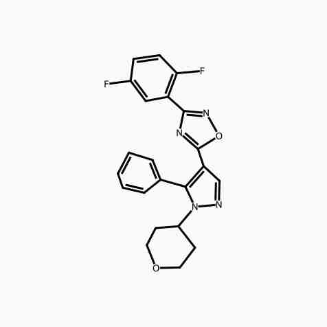 Fc1ccc(F)c(-c2noc(-c3cnn(C4CCOCC4)c3-c3ccccc3)n2)c1